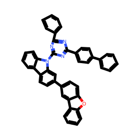 c1ccc(-c2ccc(-c3nc(-c4ccccc4)nc(-n4c5ccccc5c5ccc(-c6ccc7oc8ccccc8c7c6)cc54)n3)cc2)cc1